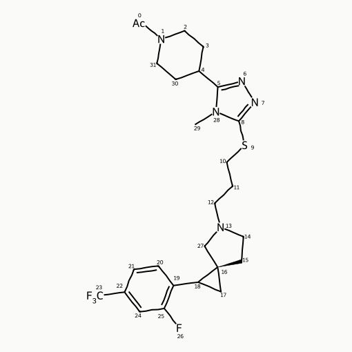 CC(=O)N1CCC(c2nnc(SCCCN3CC[C@]4(CC4c4ccc(C(F)(F)F)cc4F)C3)n2C)CC1